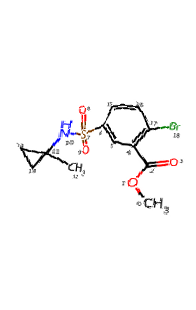 COC(=O)c1cc(S(=O)(=O)NC2(C)CC2)ccc1Br